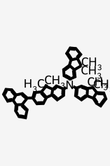 CC1(C)c2ccccc2-c2ccc(N(c3ccc4c(c3)C(C)(C)c3ccccc3-4)c3ccc4c(c3)C(C)(C)c3cc(-c5cc6ccccc6c6ccccc56)ccc3-4)cc21